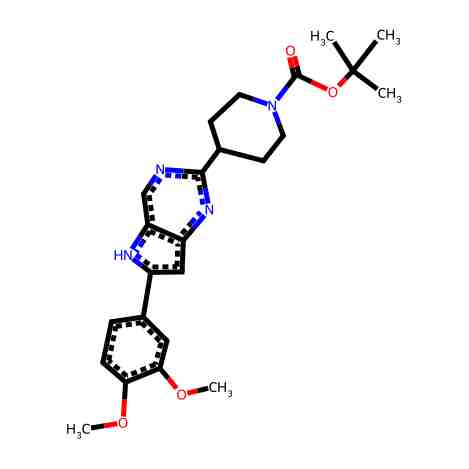 COc1ccc(-c2cc3nc(C4CCN(C(=O)OC(C)(C)C)CC4)ncc3[nH]2)cc1OC